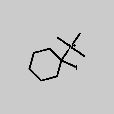 C[N+](C)(C)C1(I)CCCCC1